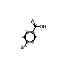 O=C(O)c1c[c]c(Br)cc1